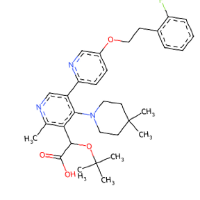 Cc1ncc(-c2ccc(OCCc3ccccc3F)cn2)c(N2CCC(C)(C)CC2)c1C(OC(C)(C)C)C(=O)O